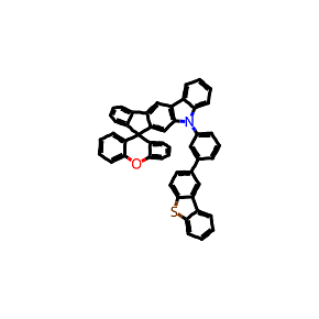 c1cc(-c2ccc3sc4ccccc4c3c2)cc(-n2c3ccccc3c3cc4c(cc32)C2(c3ccccc3Oc3ccccc32)c2ccccc2-4)c1